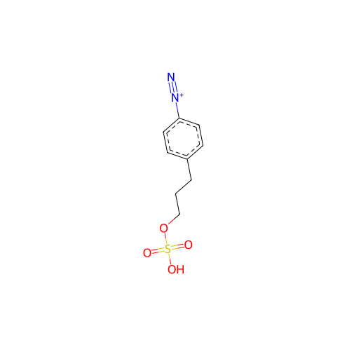 N#[N+]c1ccc(CCCOS(=O)(=O)O)cc1